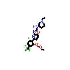 CCOCOc1cc(C(F)(F)F)cc(F)c1-c1ccc2oc(N[C@@H]3CCCN(CC)C3)nc2n1